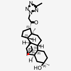 Cc1nnn(CC(=O)[C@H]2CC[C@H]3[C@@H]4CC[C@@H]5C[C@](C)(O)CC[C@]5(C(F)(F)F)[C@H]4CC[C@]23C)n1